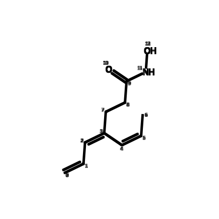 C=C/C=C(\C=C/C)CCC(=O)NO